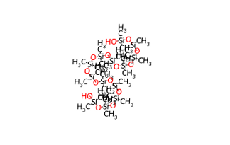 C[Si](C)(O)O[Si](C)(C)O[Si](C)(C)O[Si](C)(C)O[Si](C)(C)O[Si](C)(C)O[Si](C)(C)O[Si](C)(C)O[Si](C)(C)O[Si](C)(C)O[Si](C)(C)O[Si](C)(C)O[Si](C)(C)O